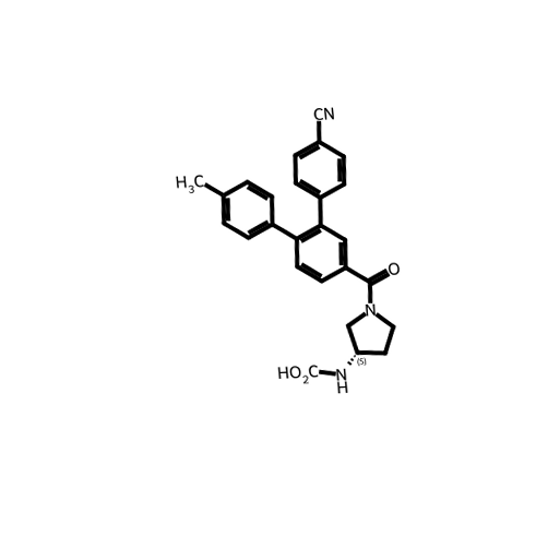 Cc1ccc(-c2ccc(C(=O)N3CC[C@H](NC(=O)O)C3)cc2-c2ccc(C#N)cc2)cc1